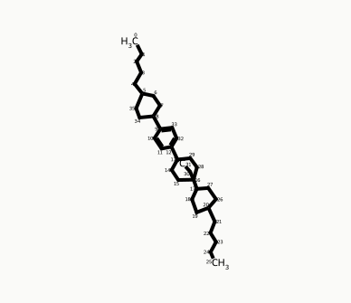 CCCCCC1CCC(c2ccc(C34CCC(C5CCC(CCCCC)CC5)(CC3)CC4)cc2)CC1